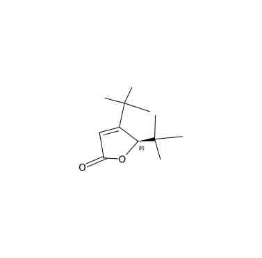 CC(C)(C)C1=CC(=O)O[C@@H]1C(C)(C)C